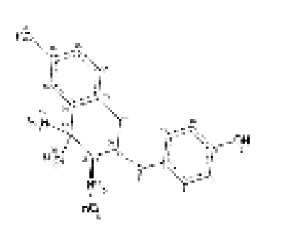 Cl.N[C@@H]1[C@@H](Sc2ccc(O)cc2)Cc2ccc(O)cc2C1(N)N